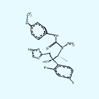 C[C@@H](N(N)C(=S)Nc1ccc(OC(F)(F)F)cc1)[C@@](O)(Cc1nc[nH]n1)c1ccc(F)cc1F